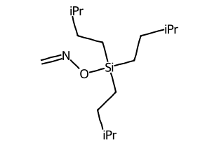 C=NO[Si](CCC(C)C)(CCC(C)C)CCC(C)C